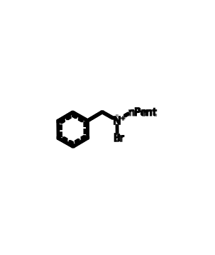 CCCCC[N+](Br)Cc1ccccc1